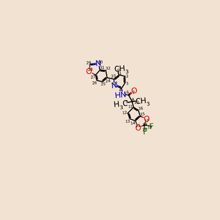 Cc1ccc(NC(=O)C(C)(C)c2ccc3c(c2)OC(F)(F)O3)nc1-c1ccc2ocnc2c1